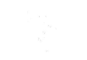 Cc1cn(-c2ccc3c(c2)OC(F)(F)C(F)(F)O3)c(=NC(=O)NC(C)(C)CC(C)(C)C)s1